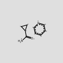 NC(=O)C1CC1.c1ccncc1